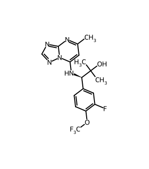 Cc1cc(N[C@H](c2ccc(OC(F)(F)F)c(F)c2)C(C)(C)O)n2ncnc2n1